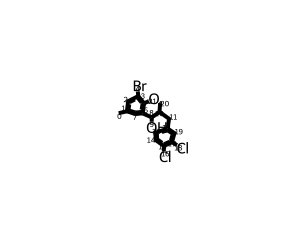 Cc1cc(Br)c2c(c1)C(O)C(Cc1ccc(Cl)c(Cl)c1)CO2